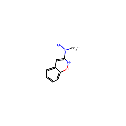 CCOC(=O)N(N)C1=Cc2ccccc2ON1